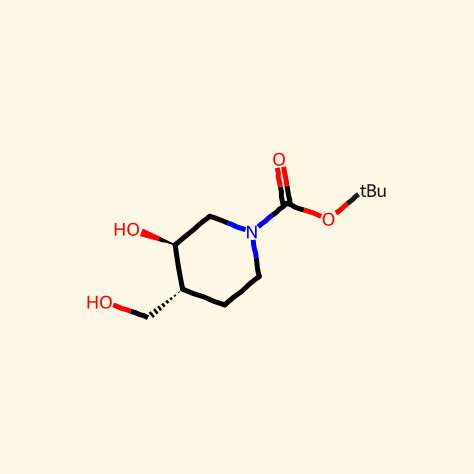 CC(C)(C)OC(=O)N1CC[C@H](CO)[C@@H](O)C1